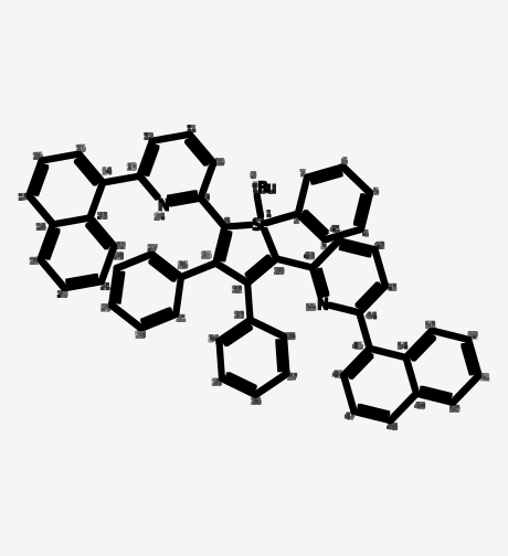 CC(C)(C)[Si]1(c2ccccc2)C(c2cccc(-c3cccc4ccccc34)n2)=C(c2ccccc2)C(c2ccccc2)=C1c1cccc(-c2cccc3ccccc23)n1